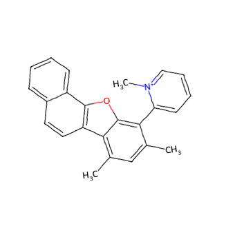 Cc1cc(C)c2c(oc3c4ccccc4ccc32)c1-c1cccc[n+]1C